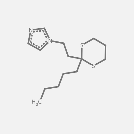 CCCCCC1(CCn2ccnc2)SCCCS1